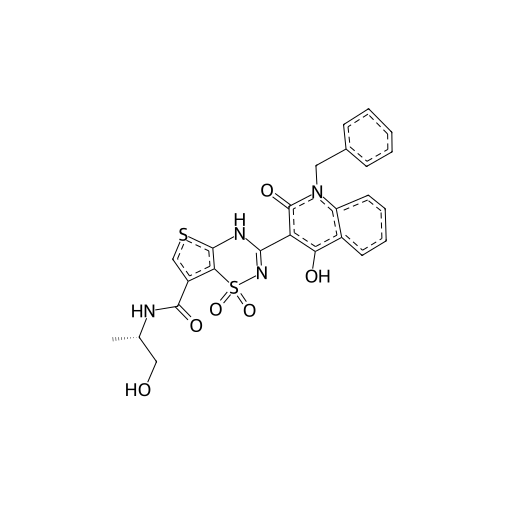 C[C@@H](CO)NC(=O)c1csc2c1S(=O)(=O)N=C(c1c(O)c3ccccc3n(Cc3ccccc3)c1=O)N2